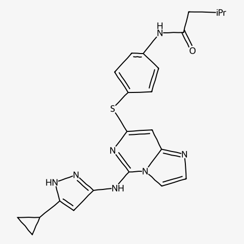 CC(C)CC(=O)Nc1ccc(Sc2cc3nccn3c(Nc3cc(C4CC4)[nH]n3)n2)cc1